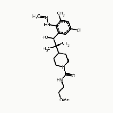 C=NNc1c(C)cc(Cl)cc1C(O)C(C)(C)C1CCN(C(=O)NCCOC)CC1